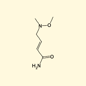 CON(C)C/C=C/C(N)=O